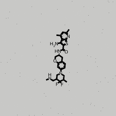 CNCC1CN(c2ccc3c(c2)OC[C@H](NC(=O)c2sc4nc(C)cc(C)c4c2N)C3)CC(C)C1(F)F